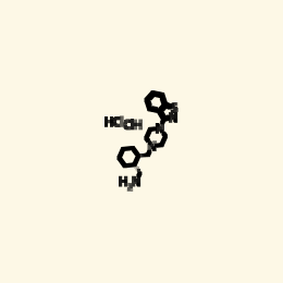 Cl.Cl.NC[C@@H]1CCCC[C@H]1CN1CCN(c2nsc3ccccc23)CC1